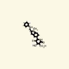 CCc1c(-c2ccc3c(c2)cc(CNc2ccccc2)n3C)[nH]c(=O)c(C(=O)O)c1O